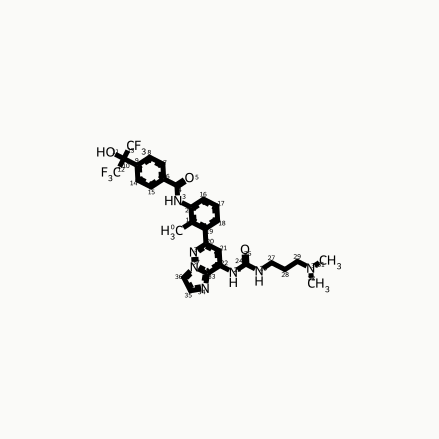 Cc1c(NC(=O)c2ccc(C(O)(C(F)(F)F)C(F)(F)F)cc2)cccc1-c1cc(NC(=O)NCCCN(C)C)c2nccn2n1